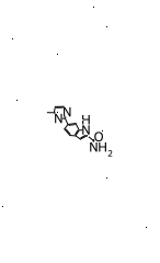 Cc1ccnc(-c2ccc3cc(C(N)=O)[nH]c3c2)n1